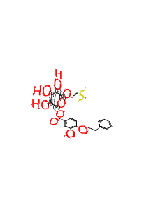 COc1cc(C(=O)OC[C@H]2O[C@@H](OCCS(C)(C)C)[C@H](O)[C@@H](O)[C@@H]2O)ccc1OCCc1ccccc1